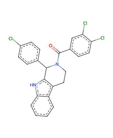 O=C(c1ccc(Cl)c(Cl)c1)N1CCc2c([nH]c3ccccc23)C1c1ccc(Cl)cc1